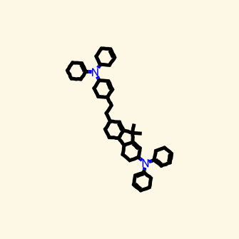 CC1(C)C2=CC(CCC3C=CC(N(C4=CCCCC4)C4CC=CCC4)CC3)CCC2C2CCC(N(C3=CC=CCC3)C3=CC=CCC3)C=C21